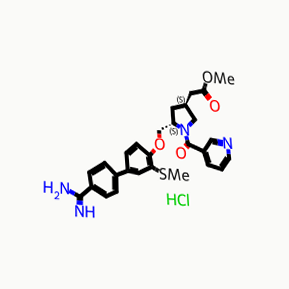 COC(=O)C[C@@H]1C[C@@H](COc2ccc(-c3ccc(C(=N)N)cc3)cc2SC)N(C(=O)c2cccnc2)C1.Cl